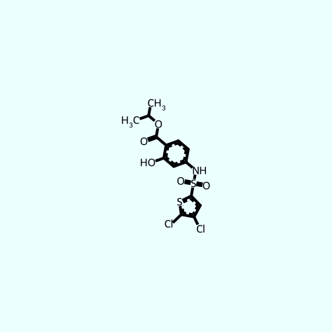 CC(C)OC(=O)c1ccc(NS(=O)(=O)c2cc(Cl)c(Cl)s2)cc1O